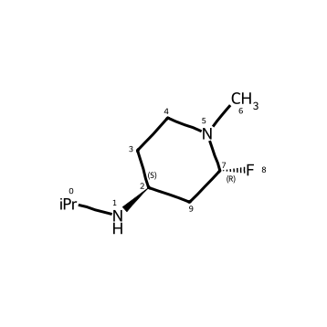 CC(C)N[C@H]1CCN(C)[C@H](F)C1